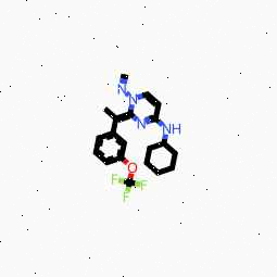 C=NN1C=CC(NC2CCCCC2)=N/C1=C(/C)c1cccc(OC(F)(F)F)c1